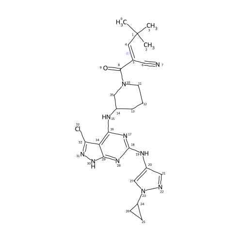 CC(C)(C)/C=C(\C#N)C(=O)N1CCCC(Nc2nc(Nc3cnn(C4CC4)c3)nc3[nH]nc(Cl)c23)C1